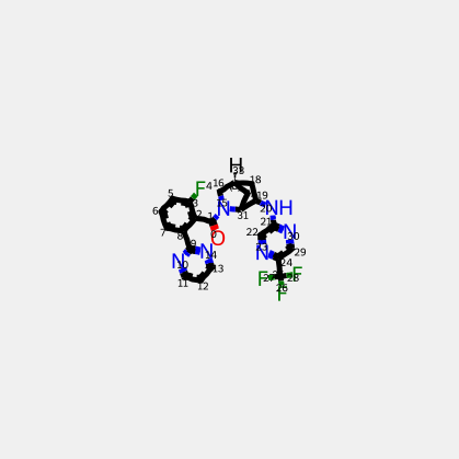 O=C(c1c(F)cccc1-c1ncccn1)N1C[C@H]2CC(Nc3cnc(C(F)(F)F)cn3)C1C2